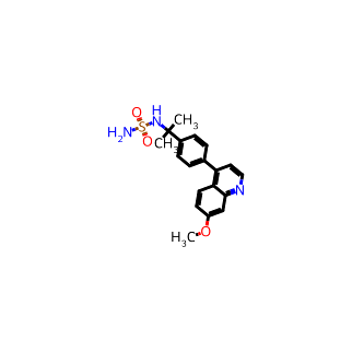 COc1ccc2c(-c3ccc(C(C)(C)NS(N)(=O)=O)cc3)ccnc2c1